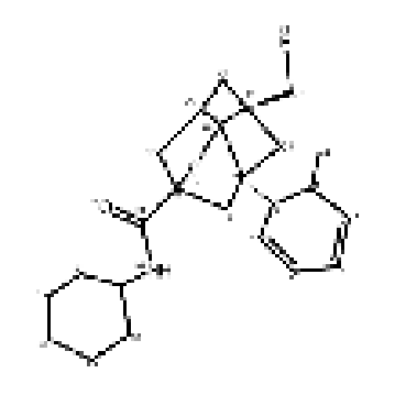 CC1C=CC=CC1[C@@]12CC3(C(=O)NC4CCCCC4)CC4C[C@](CF)(C1)C42C3